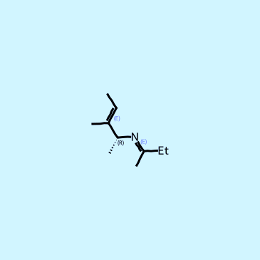 C/C=C(\C)[C@@H](C)/N=C(\C)CC